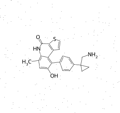 Cc1cc(O)c(-c2ccc(C3(CN)CC3)cc2)c2c1[nH]c(=O)c1sccc12